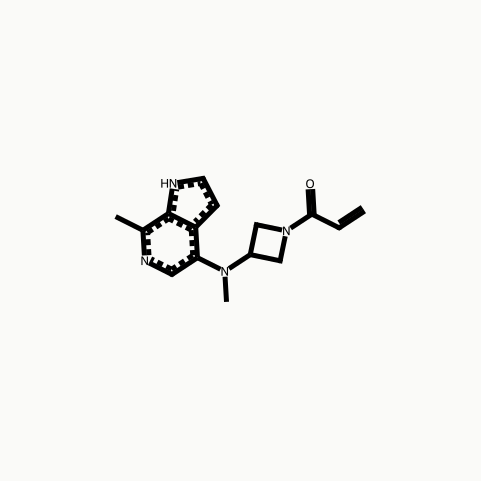 C=CC(=O)N1CC(N(C)c2cnc(C)c3[nH]ccc23)C1